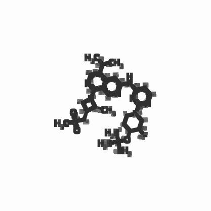 BC(B)(B)O[C@H]1CCN(c2nccc(Nc3cc4c(C(C)C)cnc(N5C[C@H](CS(C)(=O)=O)[C@H]5C)c4cn3)n2)C[C@H]1F